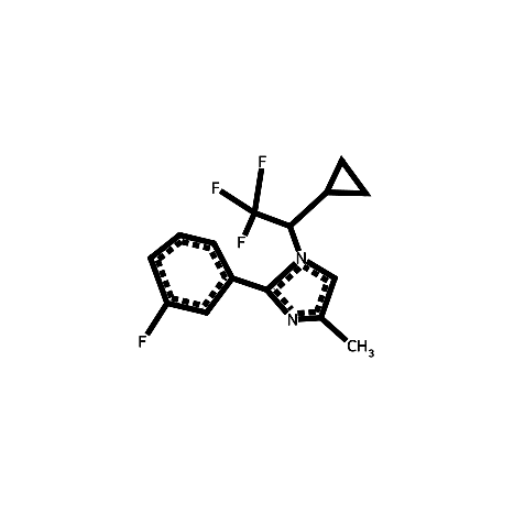 Cc1cn(C(C2CC2)C(F)(F)F)c(-c2cccc(F)c2)n1